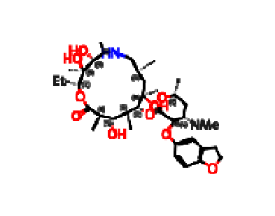 CC[C@H]1OC(=O)[C@H](C)[C@@H](O)[C@H](C)[C@@H](O[C@@H]2O[C@H](C)C[C@H](NC)[C@H]2Oc2ccc3c(c2)CCO3)[C@](C)(O)C[C@@H](C)CN[C@H](C)[C@@H](O)[C@]1(C)O